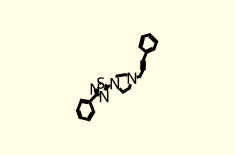 C(#Cc1ccccc1)CN1CCN(c2nc(-c3ccccc3)ns2)CC1